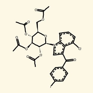 CC(=O)OC[C@H]1O[C@@H](n2cc(C(=O)c3ccc(I)cc3)c3c(Cl)cccc32)[C@H](OC(C)=O)[C@@H](OC(C)=O)[C@@H]1OC(C)=O